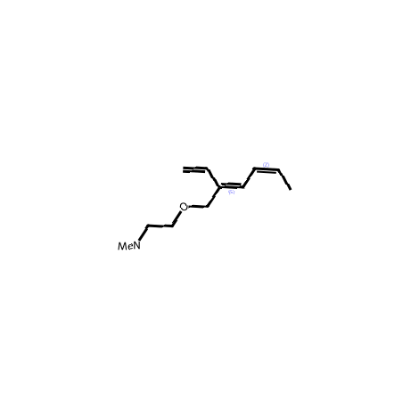 C=C/C(=C\C=C/C)COCCNC